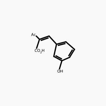 CC(=O)/C(=C/c1cccc(O)c1)C(=O)O